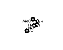 COc1cccc(-c2n[nH]c3ncc4c(c23)CCN(C(=O)Nc2ccccc2)C4)c1